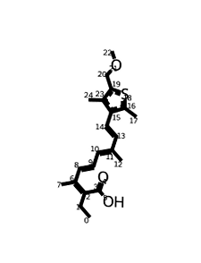 CCC(C(=O)O)=C(C)C=CC=C(C)C=Cc1c(C)sc(COC)c1C